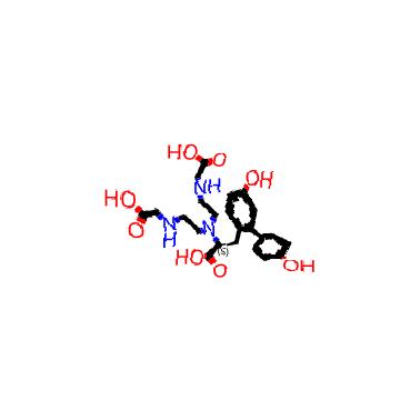 O=C(O)CNCCN(CCNCC(=O)O)[C@@H](Cc1ccc(O)cc1-c1ccc(O)cc1)C(=O)O